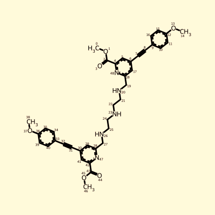 COC(=O)c1cc(C#Cc2ccc(OC)cc2)cc(CNCCNCCNCc2cc(C#Cc3ccc(OC)cc3)cc(C(=O)OC)n2)n1